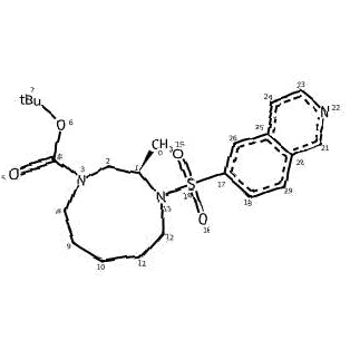 C[C@@H]1CN(C(=O)OC(C)(C)C)CCCCCN1S(=O)(=O)c1ccc2cnccc2c1